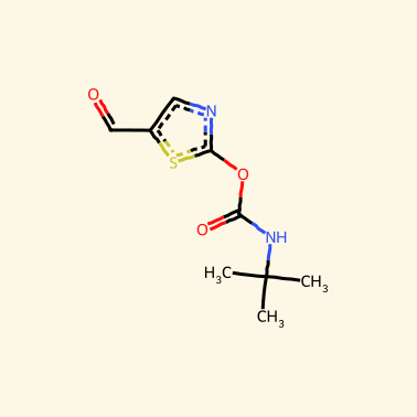 CC(C)(C)NC(=O)Oc1ncc(C=O)s1